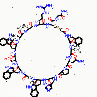 CCCC[C@H]1C(=O)N(C)[C@@H](CCCC)C(=O)N[C@@H](CCCNC(=N)N)C(=O)N[C@H](C(=O)NCC(N)=O)CSCC(=O)N[C@@H](Cc2ccccc2)C(=O)N(C)[C@@H](C)C(=O)N[C@@H](CC(N)=O)C(=O)N2CCC[C@H]2C(=O)N[C@@H](Cc2cnc[nH]2)C(=O)N[C@@H](Cc2c[nH]c3ccccc23)C(=O)N(C)CC(=O)N[C@@H](Cc2c[nH]c3ccccc23)C(=O)N[C@@H](CO)C(=O)N[C@@H](Cc2c[nH]c3ccccc23)C(=O)N1C